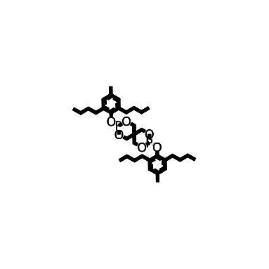 CCCCc1cc(C)cc(CCCC)c1OP1OCC2(CO1)COP(Oc1c(CCCC)cc(C)cc1CCCC)OC2